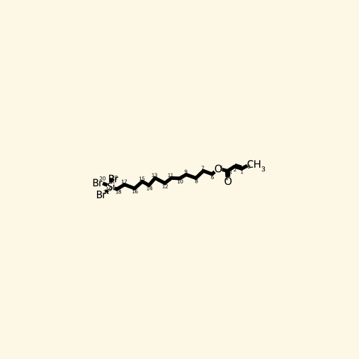 CC=CC(=O)OCCCCCCCCCCCCC[Si](Br)(Br)Br